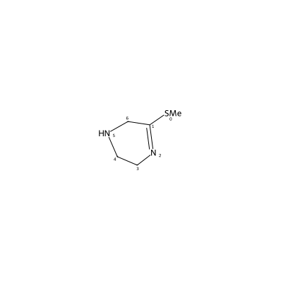 CSC1=NCCNC1